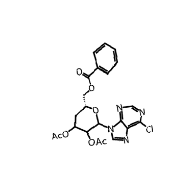 CC(=O)OC1C[C@H](COC(=O)c2ccccc2)OC(n2cnc3c(Cl)ncnc32)C1OC(C)=O